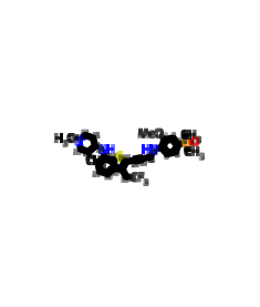 COc1cc(P(C)(C)=O)ccc1NCC#Cc1sc2c(N[C@H]3CCN(C)C[C@@H]3C)cccc2c1CC(F)(F)F